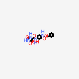 O=C(N[C@H]1CC[C@@H](NC(=O)c2[nH]c(=O)[nH]c(=O)c2O)CC1)OCc1ccccc1